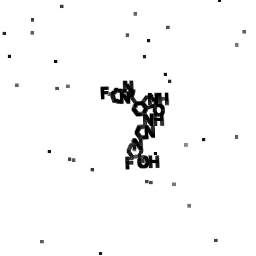 O=C1NCc2c(-c3cnc4cc(F)ccn34)ccc(Nc3ccc(N4CC[C@H](F)[C@H](O)C4)cn3)c21